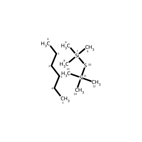 CCCCCC.C[Si](C)(C)S[Si](C)(C)C